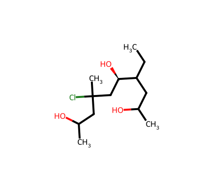 CCC(CC(C)O)[C@H](O)CC(C)(Cl)CC(C)O